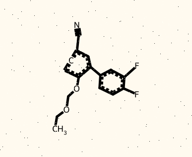 CCOCOc1ccc(C#N)cc1-c1ccc(F)c(F)c1